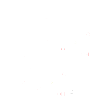 CC(C(=O)[O-])S(=O)(=O)O.CC(C(=O)[O-])S(=O)(=O)O.[Zn+2]